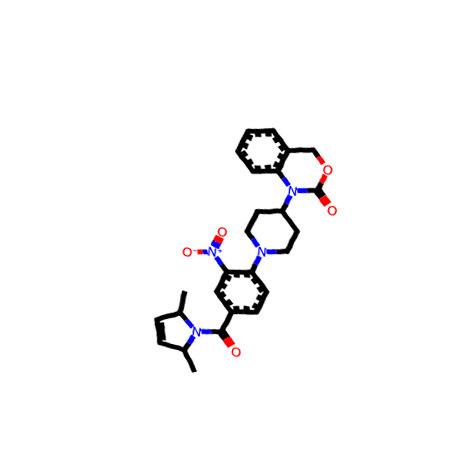 CC1C=CC(C)N1C(=O)c1ccc(N2CCC(N3C(=O)OCc4ccccc43)CC2)c([N+](=O)[O-])c1